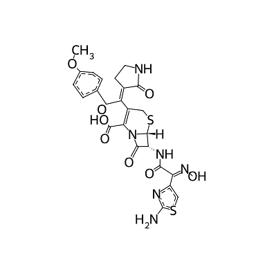 COc1ccc(C(=O)C(=C2CCNC2=O)C2=C(C(=O)O)N3C(=O)[C@@H](NC(=O)C(=NO)c4csc(N)n4)[C@H]3SC2)cc1